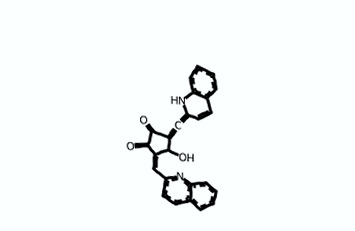 O=C1C(=O)C(=Cc2ccc3ccccc3n2)C(O)C1=C=C1C=Cc2ccccc2N1